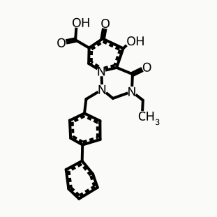 CCN1CN(Cc2ccc(-c3ccccc3)cc2)n2cc(C(=O)O)c(=O)c(O)c2C1=O